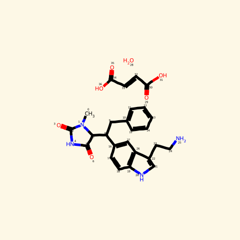 CN1C(=O)NC(=O)C1C(Cc1ccccc1)c1ccc2[nH]cc(CCN)c2c1.O.O=C(O)C=CC(=O)O